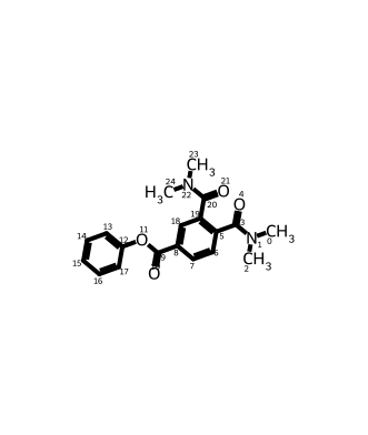 CN(C)C(=O)c1ccc(C(=O)Oc2ccccc2)cc1C(=O)N(C)C